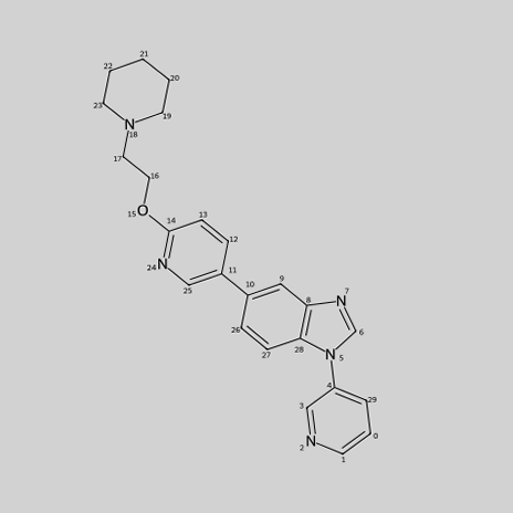 c1cncc(-n2cnc3cc(-c4ccc(OCCN5CCCCC5)nc4)ccc32)c1